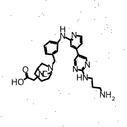 NCCCNc1ncc(-c2ccnc(Nc3cccc(CN4CC5CCCC4CN5CC(=O)O)c3)c2)cn1